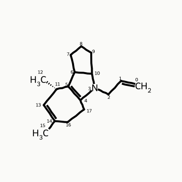 C=CCN1C2=C(C3CCCC31)[C@@H](C)C=C(C)CC2